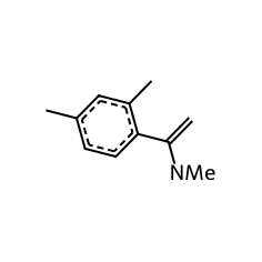 C=C(NC)c1ccc(C)cc1C